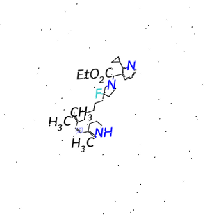 CCOC(=O)C(c1cccnc1C1CC1)N1CCC(F)(CCCCCC(/C=C\C2=C(C)NCCC2)=C(C)C)C1